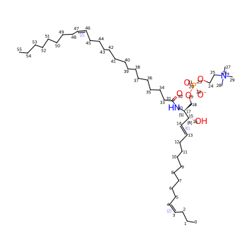 CCC/C=C\CCCCCCCC/C=C/[C@@H](O)[C@H](COP(=O)([O-])OCC[N+](C)(C)C)NC(=O)CCCCCCCCCCCCC/C=C\CCCCCCCC